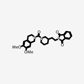 COc1cc2c(cc1OC)CN(C(=O)N1CCCC(CCN3C(=O)c4ccccc4C3=O)C1)CC2